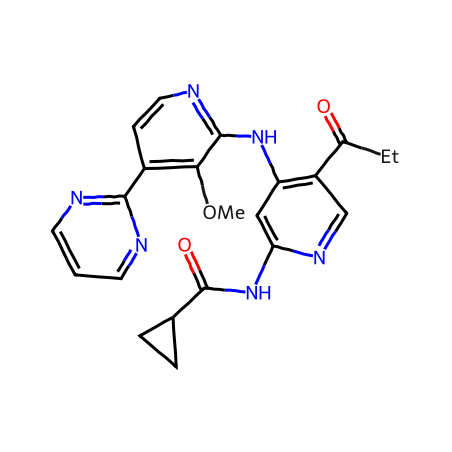 CCC(=O)c1cnc(NC(=O)C2CC2)cc1Nc1nccc(-c2ncccn2)c1OC